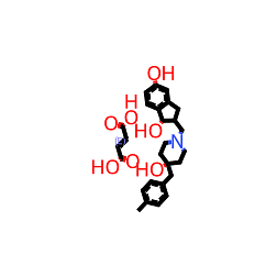 Cc1ccc(CC2(O)CCN(CC3Cc4cc(O)ccc4C3O)CC2)cc1.O=C(O)/C=C/C(=O)O